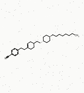 CCCCCCCC[C@H]1CC[C@H](CCC2CC=C(CCc3ccc(C#N)cc3)CC2)CC1